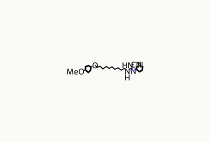 COc1ccc(OCCCCCCCCCCN/C(=N/c2cccnc2)NC#N)cc1